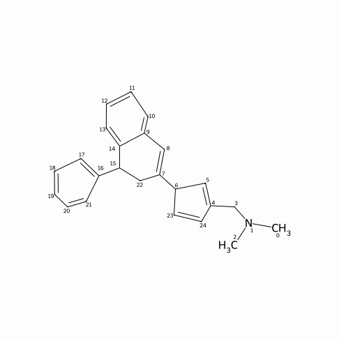 CN(C)CC1=CC(C2=Cc3ccccc3C(c3ccccc3)C2)C=C1